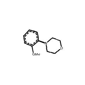 [CH2]Oc1ccccc1N1CCOCC1